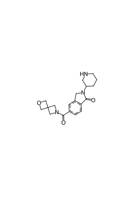 O=C(c1ccc2c(c1)CN(C1CCCNC1)C2=O)N1CC2(COC2)C1